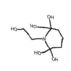 OCCN1C(O)(O)CCCC1(O)O